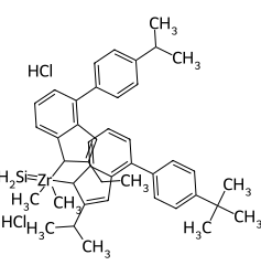 CCC1=Cc2c(-c3ccc(C(C)C)cc3)cccc2[CH]1[Zr]([CH3])([CH3])(=[SiH2])[CH]1C(C(C)C)=Cc2c(-c3ccc(C(C)(C)C)cc3)cccc21.Cl.Cl